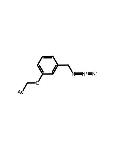 CC(=O)COc1cccc(CN=[N+]=[N-])c1